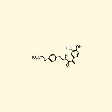 C=C(C(=O)NCCc1ccc(OCC(=O)O)cc1)c1ccc(O)c(O)c1